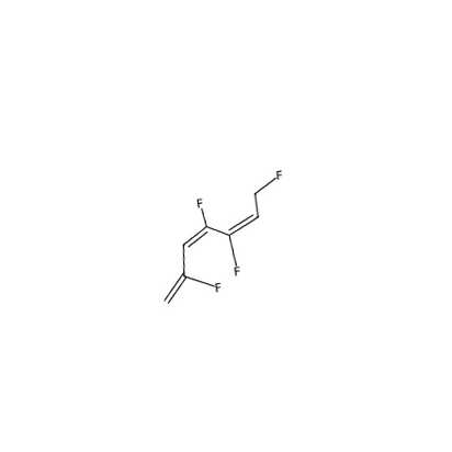 C=C(F)/C=C(F)\C(F)=C/CF